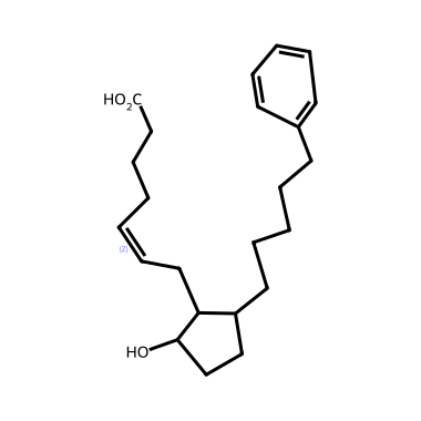 O=C(O)CCC/C=C\CC1C(O)CCC1CCCCCc1ccccc1